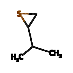 CC(C)C1CS1